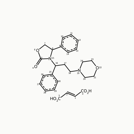 O=C(O)/C=C/C(=O)O.O=C1OCC(c2ccccc2)N1C(CCN1CCOCC1)c1ccccc1